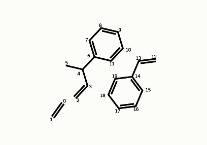 C=C.C=CC(C)c1ccccc1.C=Cc1ccccc1